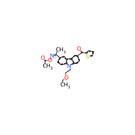 CCOCCn1c2ccc(C(=O)c3cccs3)cc2c2cc(/C(C)=N\OC(C)=O)ccc21